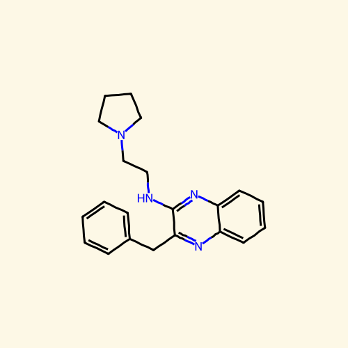 c1ccc(Cc2nc3ccccc3nc2NCCN2CCCC2)cc1